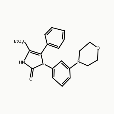 CCOC(=O)c1[nH]c(=O)n(-c2cccc(N3CCOCC3)c2)c1-c1ccccc1